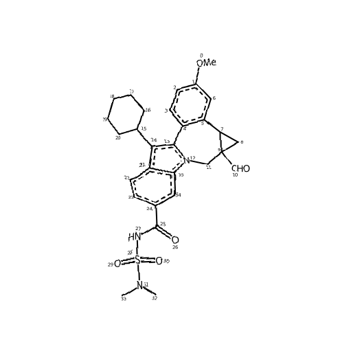 COc1ccc2c(c1)C1CC1(C=O)Cn1c-2c(C2CCCCC2)c2ccc(C(=O)NS(=O)(=O)N(C)C)cc21